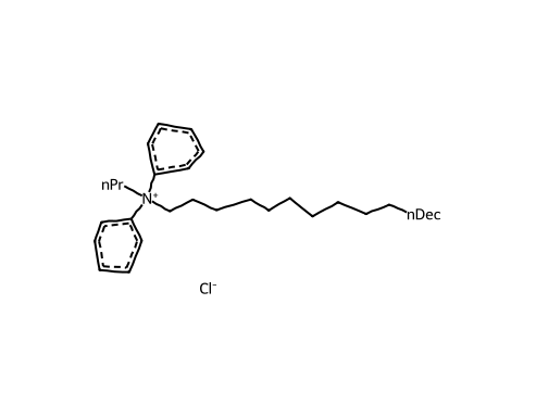 CCCCCCCCCCCCCCCCCCCC[N+](CCC)(c1ccccc1)c1ccccc1.[Cl-]